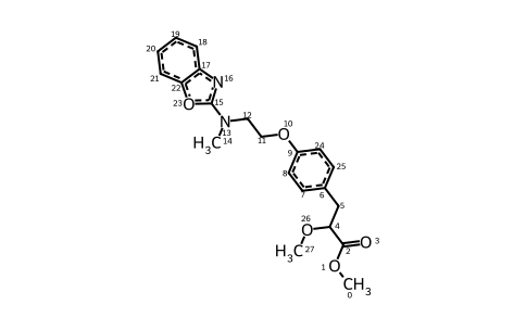 COC(=O)C(Cc1ccc(OCCN(C)c2nc3ccccc3o2)cc1)OC